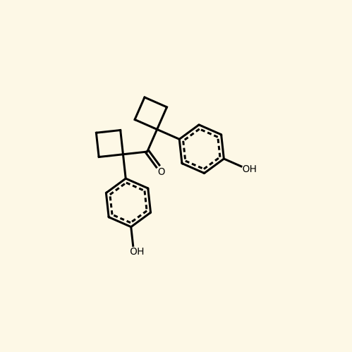 O=C(C1(c2ccc(O)cc2)CCC1)C1(c2ccc(O)cc2)CCC1